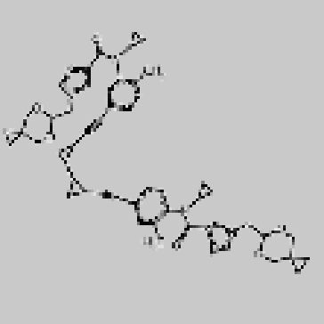 Cc1cc(C#CC2CC2C2CC2C#Cc2ccc(C)c(N(C(=O)c3cn(CC4OCC5(CC5)CO4)cn3)C3CC3)c2)ccc1N(C(=O)c1cn(CC2OCC3(CC3)CO2)cn1)C1CC1